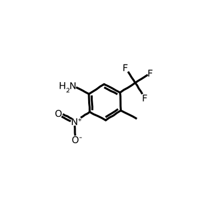 Cc1cc([N+](=O)[O-])c(N)cc1C(F)(F)F